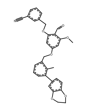 COc1cc(OCc2cccc(-c3ccc4c(c3)OCCO4)c2C)cc(OCc2cccc(C#N)c2)c1C=O